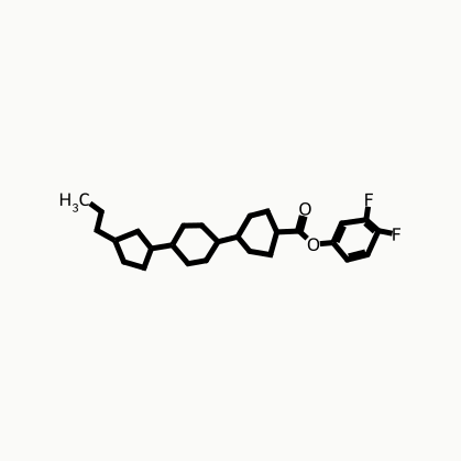 CCCC1CCC(C2CCC(C3CCC(C(=O)Oc4ccc(F)c(F)c4)CC3)CC2)C1